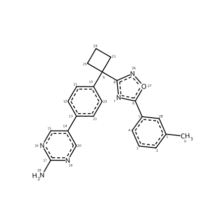 Cc1cccc(-c2nc(C3(c4ccc(-c5cnc(N)nc5)cc4)CCC3)no2)c1